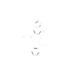 COCc1cn2c(C)c(C)nc2c(O)c1CC[C@@H](O)c1ccccc1